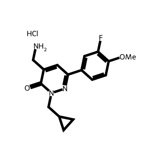 COc1ccc(-c2cc(CN)c(=O)n(CC3CC3)n2)cc1F.Cl